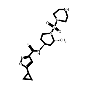 C[C@@H]1C[C@@H](NC(=O)c2cc(C3CC3)on2)CCN1S(=O)(=O)N1CCNCC1